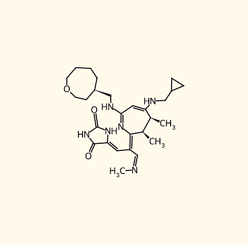 C\N=C/C(/C=C1\NC(=O)NC1=O)=C1/N=C(NC[C@@H]2CCCCOCC2)C=C(NCC2CC2)[C@@H](C)[C@H]1C